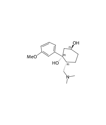 COc1cccc([C@@]2(O)C[C@@H](O)CC[C@@H]2CN(C)C)c1